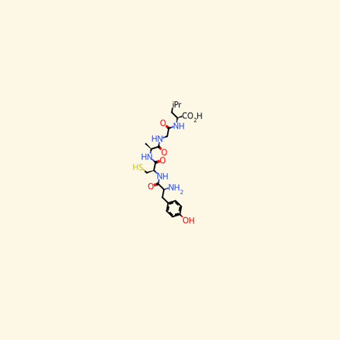 CC(C)C[C@H](NC(=O)CNC(=O)[C@H](C)NC(=O)[C@H](CS)NC(=O)[C@@H](N)Cc1ccc(O)cc1)C(=O)O